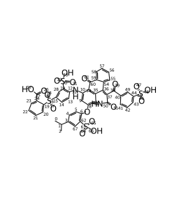 CC(C)c1ccc(Oc2cc(Nc3ccc(S(=O)(=O)c4ccccc4C(=O)O)cc3S(=O)(=O)O)c3c4c(c(C(=O)c5cccc(S(=O)(=O)O)c5)c(=O)[nH]c24)-c2ccccc2C3=O)c(S(=O)(=O)O)c1